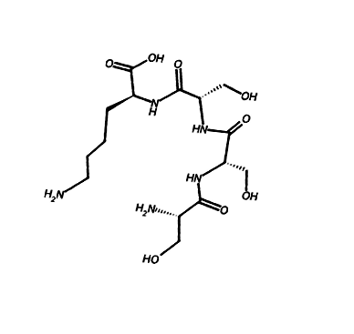 NCCCC[C@H](NC(=O)[C@H](CO)NC(=O)[C@H](CO)NC(=O)[C@@H](N)CO)C(=O)O